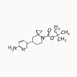 CC(C)(C)OC(=O)N1CCC(c2ccc(N)nc2)CC12CC2